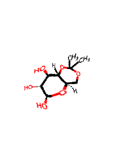 CC1(C)OC[C@H]2O[C@@H](O)[C@H](O)[C@@H](O)[C@@H]2O1